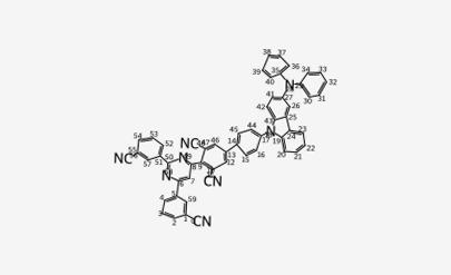 N#Cc1cccc(-c2cc(-c3c(C#N)cc(-c4ccc(-n5c6ccccc6c6cc(N(c7ccccc7)c7ccccc7)ccc65)cc4)cc3C#N)nc(-c3cccc(C#N)c3)n2)c1